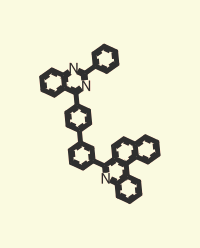 c1ccc(-c2nc(-c3ccc(-c4cccc(-c5nc6ccccc6c6c5ccc5ccccc56)c4)cc3)c3ccccc3n2)cc1